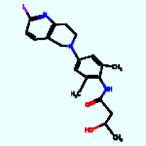 Cc1cc(N2CCc3nc(I)ccc3C2)cc(C)c1NC(=O)CC(C)O